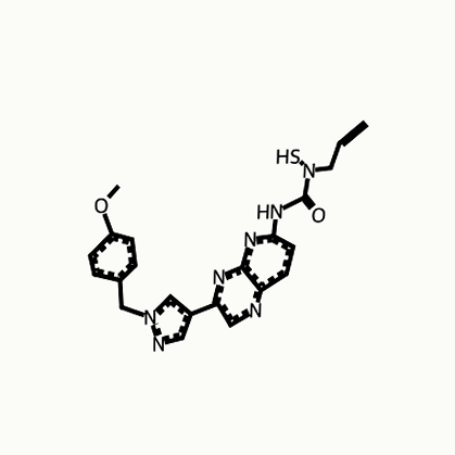 C=CCN(S)C(=O)Nc1ccc2ncc(-c3cnn(Cc4ccc(OC)cc4)c3)nc2n1